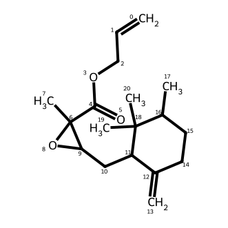 C=CCOC(=O)C1(C)OC1CC1C(=C)CCC(C)C1(C)C